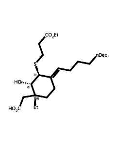 CCCCCCCCCCCCCC=C1CC[C@](CC)(CC(=O)O)[C@H](O)[C@H]1SCCC(=O)OCC